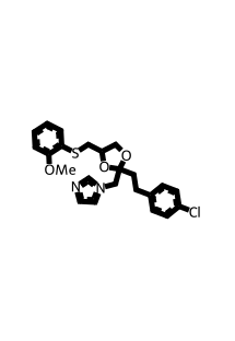 COc1ccccc1SCC1COC(CCc2ccc(Cl)cc2)(Cn2ccnc2)O1